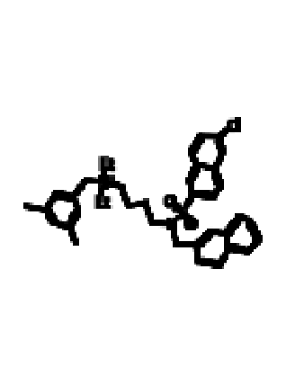 CC[N+](CC)(CCCCN(Cc1ccc2ccccc2c1)S(=O)(=O)c1ccc2cc(Cl)ccc2c1)Cc1cc(C)cc(C)c1